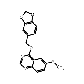 CSc1ccc2ncnc(OCc3ccc4c(c3)OCO4)c2c1